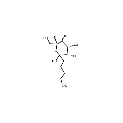 CCCCCC1(O)O[C@](Br)(CO)[C@@H](O)[C@H](O)[C@@H]1O